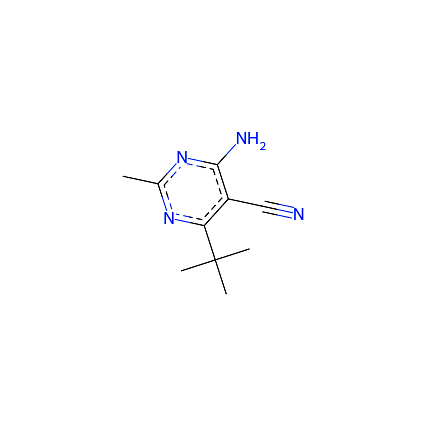 Cc1nc(N)c(C#N)c(C(C)(C)C)n1